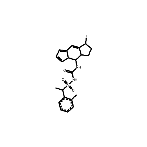 CC(c1ccccc1I)S(=O)(=O)NC(=O)NC1C2C=CC=C2C=C2C(I)CCC21